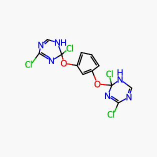 ClC1=NC(Cl)(Oc2cccc(OC3(Cl)N=C(Cl)N=CN3)c2)NC=N1